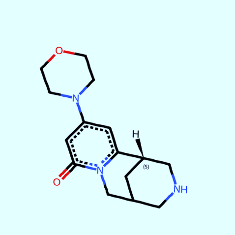 O=c1cc(N2CCOCC2)cc2n1CC1CNC[C@@H]2C1